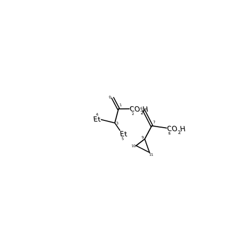 C=C(C(=O)O)C(CC)CC.C=C(C(=O)O)C1CC1